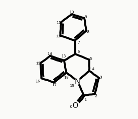 O=C1C=CC2CC(c3ccccc3)c3ccccc3N12